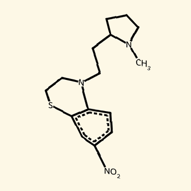 CN1CCCC1CCN1CCSc2cc([N+](=O)[O-])ccc21